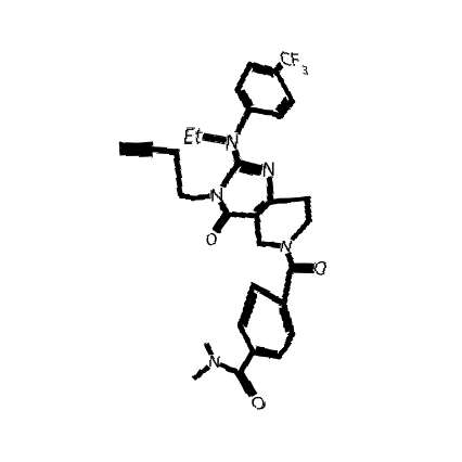 C#CCCn1c(N(CC)c2ccc(C(F)(F)F)cc2)nc2c(c1=O)CN(C(=O)c1ccc(C(=O)N(C)C)cc1)CC2